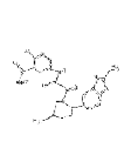 CCc1ncc(NC(=O)C(=O)N2CC(C)CC[C@@H]2c2ccc3sc(C)nc3c2)cc1C(=O)NC